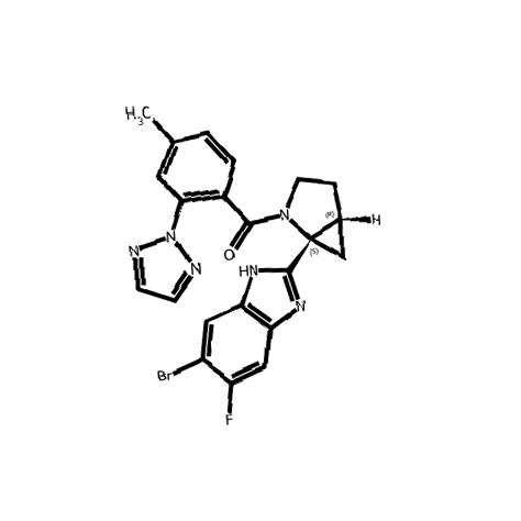 Cc1ccc(C(=O)N2CC[C@@H]3C[C@@]32c2nc3cc(F)c(Br)cc3[nH]2)c(-n2nccn2)c1